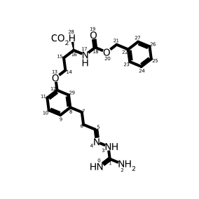 N=C(N)NN=CCCc1cccc(OCC[C@H](NC(=O)OCc2ccccc2)C(=O)O)c1